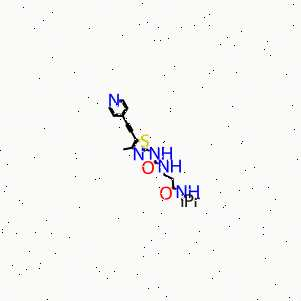 Cc1nc(NC(=O)NCCC(=O)NC(C)C)sc1C#Cc1ccncc1